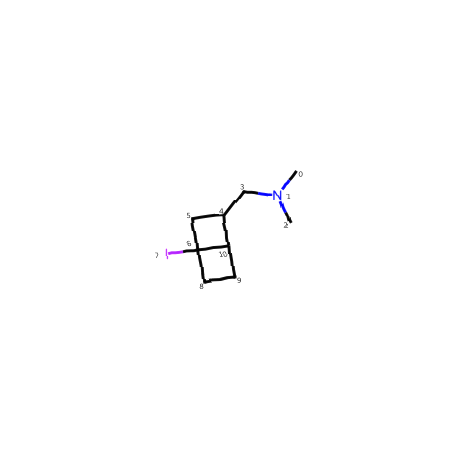 CN(C)CC1CC2(I)CCC12